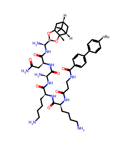 CCCCc1ccc(-c2ccc(C(=O)NCCC(=O)N[C@@H](CCCCN)C(=O)N[C@@H](CCCCN)C(=O)N[C@@H](N)C(=O)N[C@@H](CC(N)=O)C(=O)N[C@@H](N)B3OC4C[C@@H]5C[C@@H](C5(C)C)[C@]4(C)O3)cc2)cc1